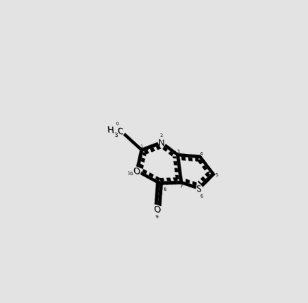 Cc1nc2ccsc2c(=O)o1